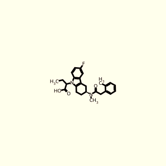 CCC(C(=O)O)n1c2c(c3cc(F)ccc31)C[C@@H](N(C)C(=O)Cc1ccccc1C)CC2